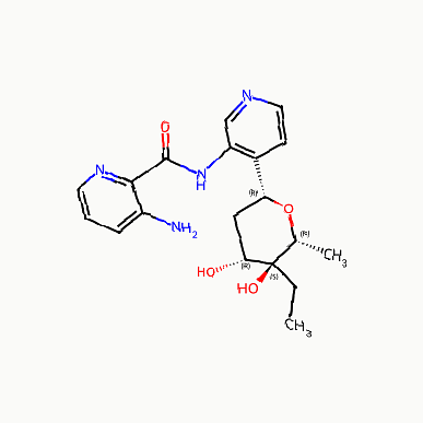 CC[C@]1(O)[C@H](O)C[C@H](c2ccncc2NC(=O)c2ncccc2N)O[C@@H]1C